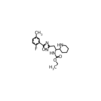 CCOC(=O)NC(Cc1noc(-c2cc(C)ccc2F)n1)C1CCCCN1